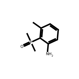 Cc1cccc(N)c1P(C)(C)=O